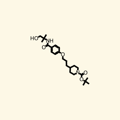 CC(C)(CO)NC(=O)c1ccc(OCCCC2CCN(C(=O)OC(C)(C)C)CC2)cc1